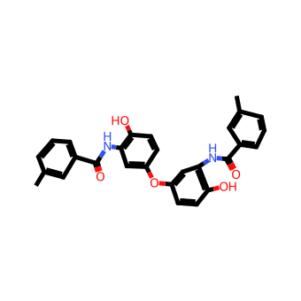 Cc1cccc(C(=O)Nc2cc(Oc3ccc(O)c(NC(=O)c4cccc(C)c4)c3)ccc2O)c1